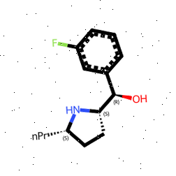 CCC[C@H]1CC[C@@H]([C@H](O)c2cccc(F)c2)N1